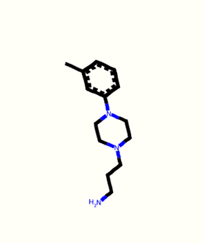 Cc1cccc(N2CCN(CCCN)CC2)c1